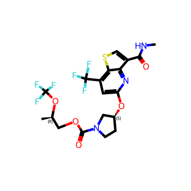 CNC(=O)c1csc2c(C(F)(F)F)cc(O[C@H]3CCN(C(=O)OC[C@@H](C)OC(F)(F)F)C3)nc12